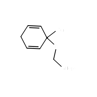 CCCCCCCCOC1(C(C)(C)C)C=[C]CC=C1